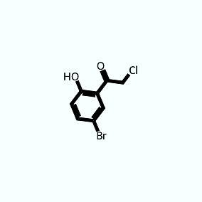 O=C(CCl)c1cc(Br)ccc1O